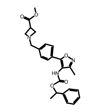 COC(=O)C1CN(Cc2ccc(-c3onc(C)c3NC(=O)OC(C)c3ccccc3)cc2)C1